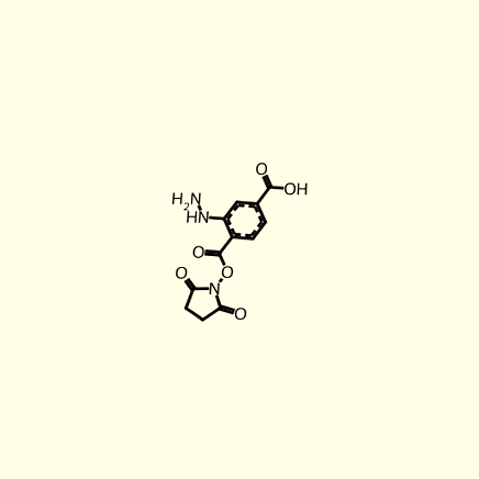 NNc1cc(C(=O)O)ccc1C(=O)ON1C(=O)CCC1=O